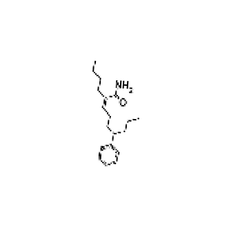 CCCCC(=CCCC(CCC)c1ccccc1)C(N)=O